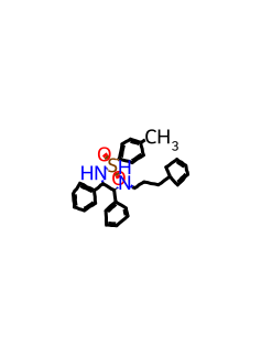 Cc1ccc(S(=O)(=O)N[C@H](c2ccccc2)[C@H](NCCCC2C=CC=CC2)c2ccccc2)cc1